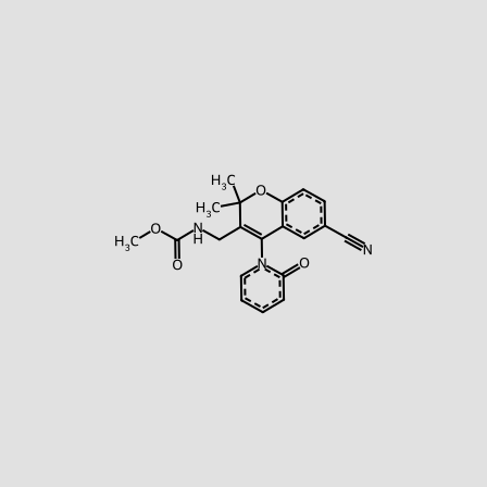 COC(=O)NCC1=C(n2ccccc2=O)c2cc(C#N)ccc2OC1(C)C